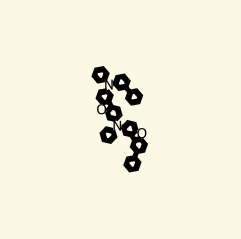 c1ccc(-c2cccc(N(c3ccccc3)c3ccc4oc5cc(N(c6ccccc6)c6ccc7oc8ccc(-c9ccccc9)cc8c7c6)ccc5c4c3)c2)cc1